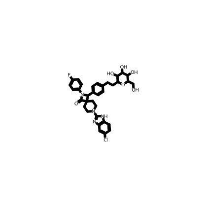 O=C1N(c2ccc(F)cc2)C(c2ccc(CCC3OC(CO)C(O)C(O)C3O)cc2)C12CCN(c1nc3cc(Cl)ccc3[nH]1)CC2